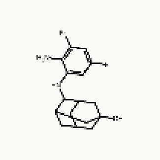 Nc1c(Br)cc(Br)cc1NC1C2CC3CC1CC(O)(C3)C2